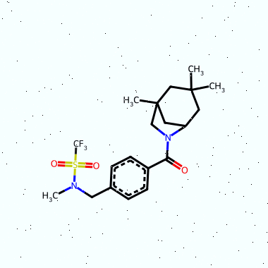 CN(Cc1ccc(C(=O)N2CC3(C)CC2CC(C)(C)C3)cc1)S(=O)(=O)C(F)(F)F